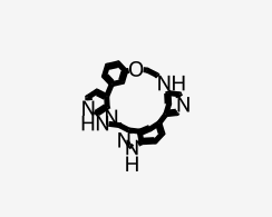 c1cc2cc(c1)-c1ccnc3[nH]c(nc13)-c1n[nH]c3ccc(cc13)-c1cncc(c1)NCCO2